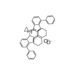 C1=C(C2CCCCC2)[CH]([Hf+2]2([CH]3C(C4CCCCC4)=Cc4c(-c5ccccc5)cccc43)[CH2][CH2]2)c2cccc(-c3ccccc3)c21.[Cl-].[Cl-]